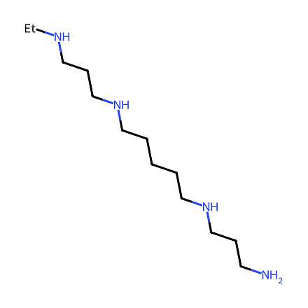 CCNCCCNCCCCCNCCCN